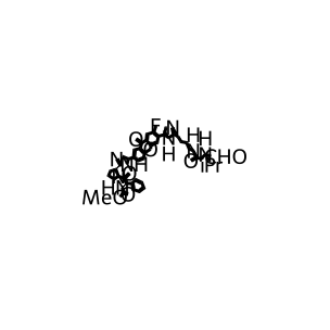 COC(=O)N[C@@H](C(=O)N1CCC[C@H]1C1=NCC(c2ccc3oc4cc(C5CN=C(CCCCNC(=O)[C@@H](NC=O)C(C)C)N5)c(F)cc4c(=O)c3c2)N1)c1ccccc1